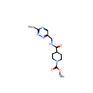 CSc1ncc(CNC(=O)C2CCN(C(=O)OC(C)(C)C)CC2)nn1